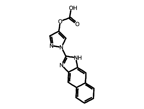 O=C(O)Oc1cnn(-c2nc3cc4ccccc4cc3[nH]2)c1